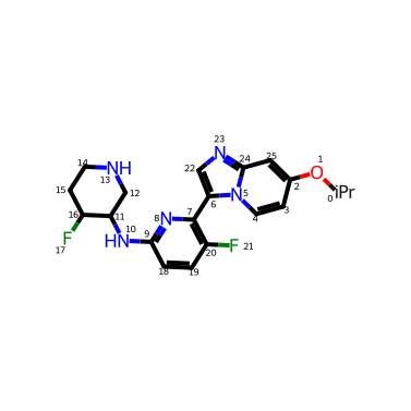 CC(C)Oc1ccn2c(-c3nc(NC4CNCCC4F)ccc3F)cnc2c1